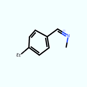 CCc1ccc(/C=N\C)cc1